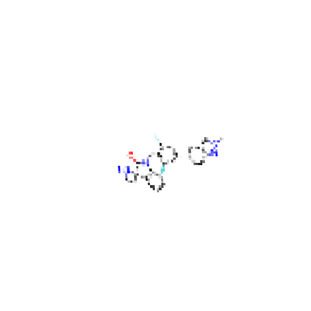 Cn1cc2cc(-c3cc(F)c(CN4C(=O)C5(CCN5)c5ccccc54)c(F)c3)ccc2n1